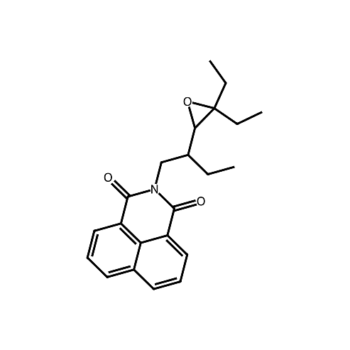 CCC(CN1C(=O)c2cccc3cccc(c23)C1=O)C1OC1(CC)CC